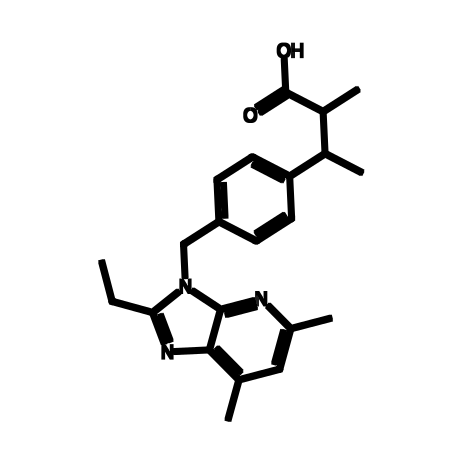 CCc1nc2c(C)cc(C)nc2n1Cc1ccc(C(C)C(C)C(=O)O)cc1